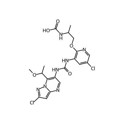 COC(C)c1c(NC(=O)Nc2cc(Cl)cnc2OCC(C)NC(=O)O)cnc2cc(Cl)nn12